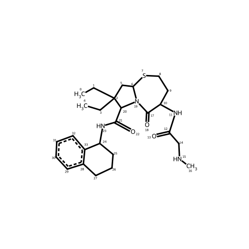 CCC1(CC)CC2SCCC(NC(=O)CNC)C(=O)N2C1C(=O)NC1CCCc2ccccc21